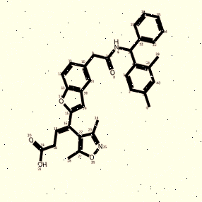 Cc1ccc(C(NC(=O)Cc2ccc3oc(/C(=C/CC(=O)O)c4c(C)noc4C)cc3c2)c2ccccc2)c(C)c1